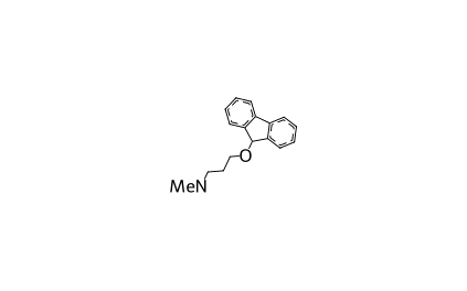 CNCCCOC1c2ccccc2-c2ccccc21